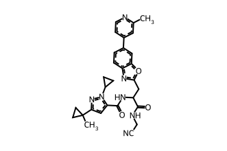 Cc1cc(-c2ccc3nc(CC(NC(=O)c4cc(C5(C)CC5)nn4C4CC4)C(=O)NCC#N)oc3c2)ccn1